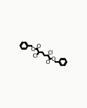 O=C(OCc1ccccc1)C(Cl)CCC(Cl)C(=O)OCc1ccccc1